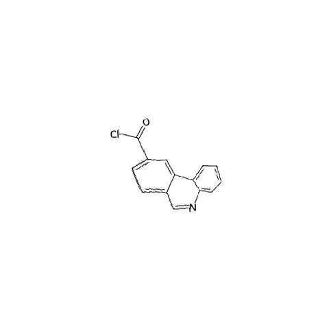 O=C(Cl)c1ccc2cnc3ccccc3c2c1